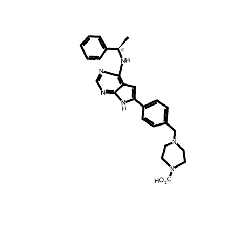 C[C@@H](Nc1ncnc2[nH]c(-c3ccc(CN4CCN(C(=O)O)CC4)cc3)cc12)c1ccccc1